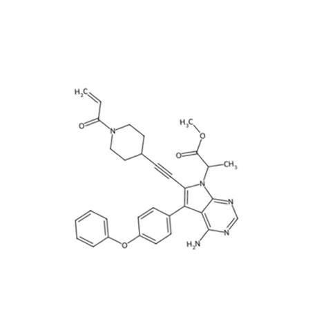 C=CC(=O)N1CCC(C#Cc2c(-c3ccc(Oc4ccccc4)cc3)c3c(N)ncnc3n2C(C)C(=O)OC)CC1